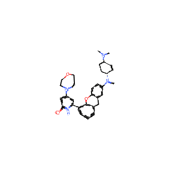 CN(C)[C@H]1CC[C@H](N(C)c2ccc3c(c2)Cc2cccc(-c4cc(N5CCOCC5)cc(=O)[nH]4)c2O3)CC1